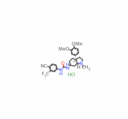 COc1ccc([C@@]23CC[C@@H](NC(=O)Nc4ccc(C#N)c(C(F)(F)F)c4)C[C@@H]2N(C)CC3)cc1OC.Cl